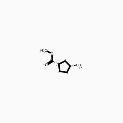 COC(=O)[C@H]1CC[C@@H](C)C1